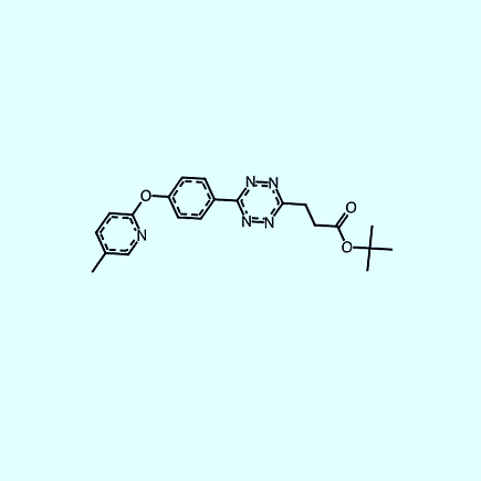 Cc1ccc(Oc2ccc(-c3nnc(CCC(=O)OC(C)(C)C)nn3)cc2)nc1